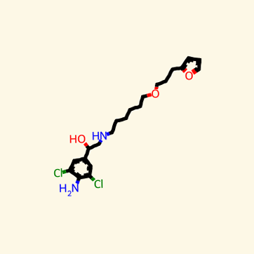 Nc1c(Cl)cc(C(O)CNCCCCCCOCCCc2ccco2)cc1Cl